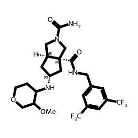 COC1COCCC1N[C@@H]1C[C@H]2CN(C(N)=O)C[C@@]2(C(=O)NCc2cc(C(F)(F)F)cc(C(F)(F)F)c2)C1